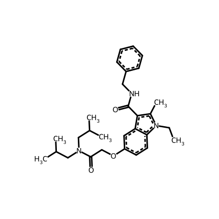 CCn1c(C)c(C(=O)NCc2ccccc2)c2cc(OCC(=O)N(CC(C)C)CC(C)C)ccc21